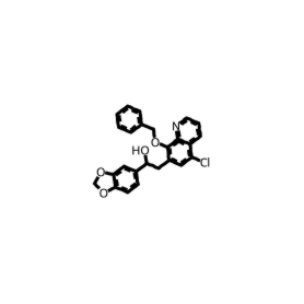 OC(Cc1cc(Cl)c2cccnc2c1OCc1ccccc1)c1ccc2c(c1)OCO2